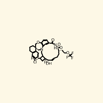 CC1C[C@@H]2C1CN1C[C@@]3(CCCc4cc(Cl)ccc43)COc3ccc(cc31)C(=O)NS(=O)(=O)[C@H](CCOC(F)(F)F)CC/C=C/[C@@H]2O